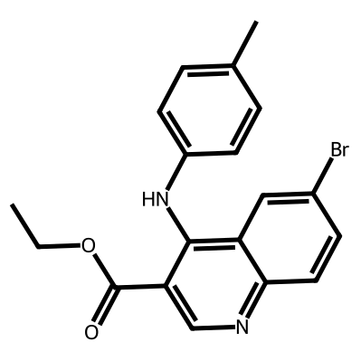 CCOC(=O)c1cnc2ccc(Br)cc2c1Nc1ccc(C)cc1